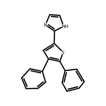 c1ccc(-c2cc(-c3ncc[nH]3)sc2-c2ccccc2)cc1